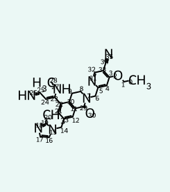 CCOc1cc(CN2CCc3c(cc(Cn4ccnc4C)cc3/C(=C/C=N)NC)C2=O)ncc1C#N